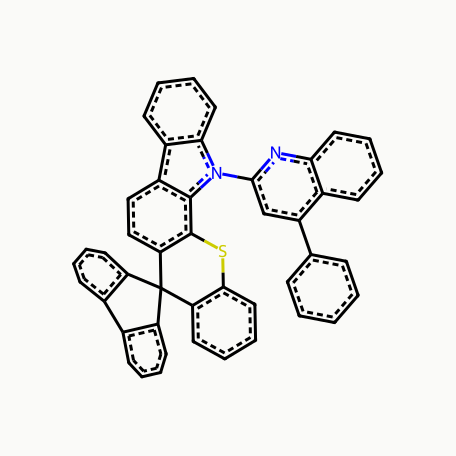 c1ccc(-c2cc(-n3c4ccccc4c4ccc5c(c43)Sc3ccccc3C53c4ccccc4-c4ccccc43)nc3ccccc23)cc1